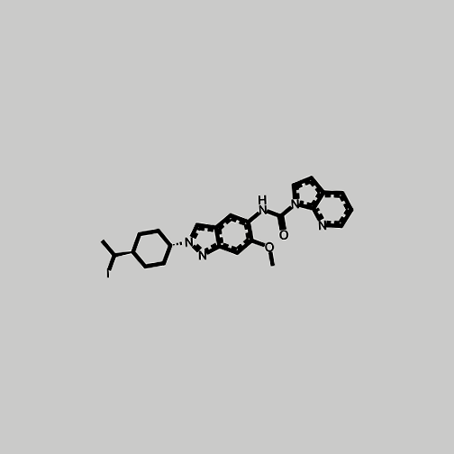 COc1cc2nn([C@H]3CC[C@H](C(C)I)CC3)cc2cc1NC(=O)n1ccc2cccnc21